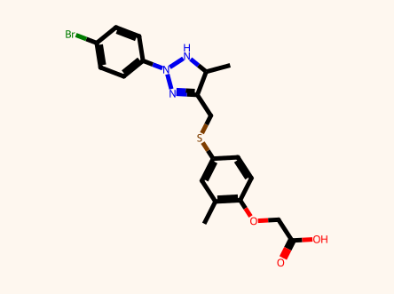 Cc1cc(SCC2=NN(c3ccc(Br)cc3)NC2C)ccc1OCC(=O)O